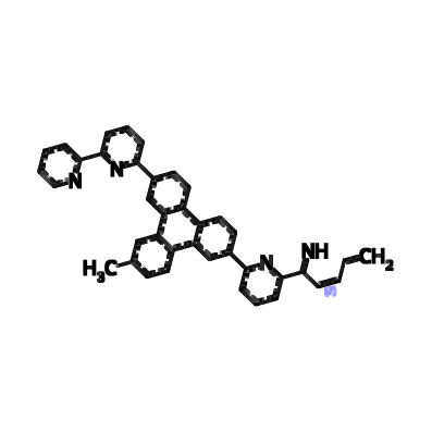 C=C/C=C\C(=N)c1cccc(-c2ccc3c4ccc(-c5cccc(-c6ccccn6)n5)cc4c4cc(C)ccc4c3c2)n1